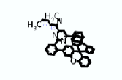 C=N/C(=C\C=C/C)c1cc(-c2ccccc2)nc(-c2ccccc2-c2ccc3c(c2)Oc2ccccc2C32c3ccccc3-c3ccccc32)n1